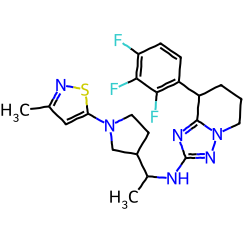 Cc1cc(N2CCC(C(C)Nc3nc4n(n3)CCCC4c3ccc(F)c(F)c3F)C2)sn1